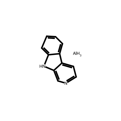 [AlH3].c1ccc2c(c1)[nH]c1cnccc12